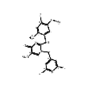 CCOc1cc(Nc2nc(=O)c(OC)cn2Cc2cc(F)cc(F)c2)c(C)cc1F